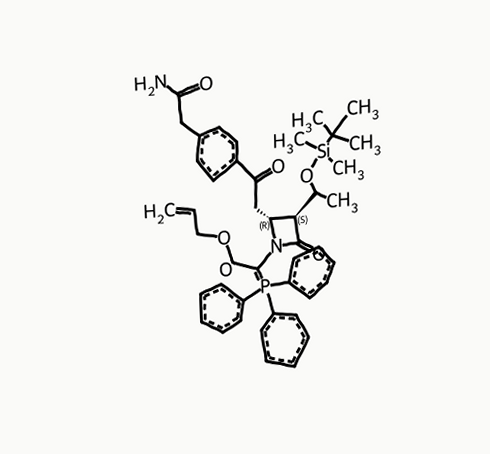 C=CCOC(=O)C(N1C(=O)[C@H](C(C)O[Si](C)(C)C(C)(C)C)[C@H]1CC(=O)c1ccc(CC(N)=O)cc1)=P(c1ccccc1)(c1ccccc1)c1ccccc1